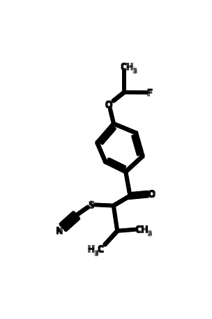 CC(F)Oc1ccc(C(=O)C(SC#N)C(C)C)cc1